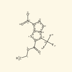 CCOC(=O)c1sc2c([N+](=O)[O-])ncn2c1C(F)(F)F